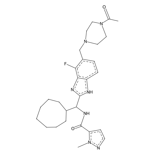 CC(=O)N1CCN(Cc2ccc3[nH]c(C(NC(=O)c4ccnn4C)C4CCCCCCC4)nc3c2F)CC1